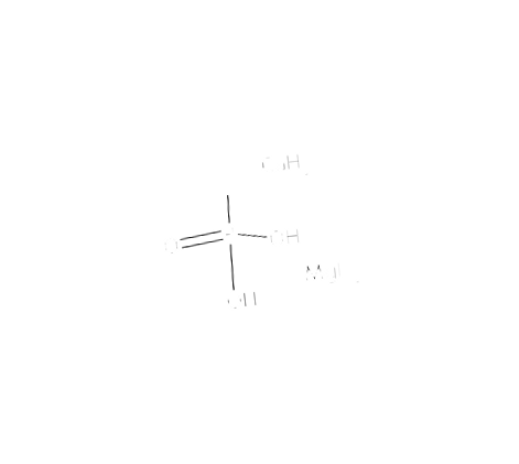 O=P(O)(O)F.[CaH2].[MgH2]